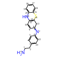 NCCc1ccc(N=C2C=CC3=C(C2)Sc2ccccc2N3)cc1